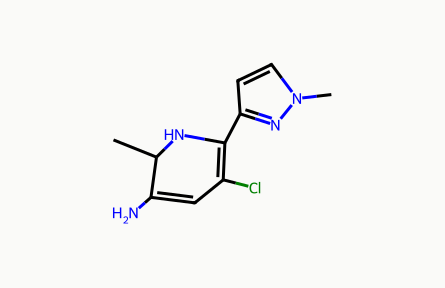 CC1NC(c2ccn(C)n2)=C(Cl)C=C1N